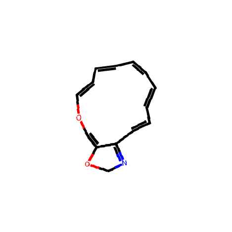 C1=C\C=C\C=C\C2=NCO/C2=C/O/C=C/C=C/1